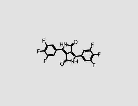 O=C1NC(c2cc(F)c(F)c(F)c2)=C2C(=O)NC(c3cc(F)c(F)c(F)c3)=C12